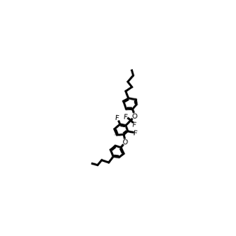 CCCCCc1ccc(OC(F)(F)c2c(F)c[c]c(Oc3ccc(CCCC)cc3)c2F)cc1